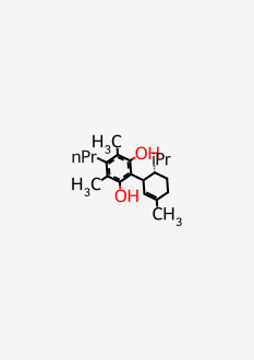 CCCc1c(C)c(O)c(C2C=C(C)CC[C@H]2C(C)C)c(O)c1C